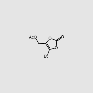 CCc1oc(=O)oc1COC(C)=O